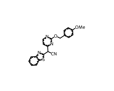 COc1ccc(COc2nccc(C(C#N)c3nc4ccccc4s3)n2)cc1